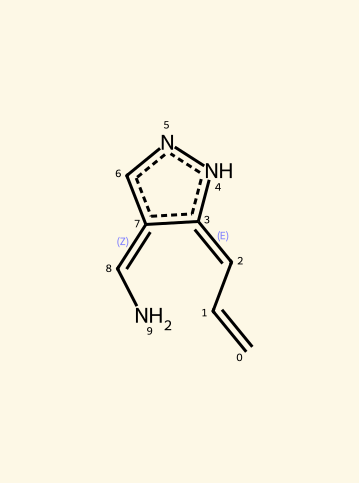 C=C/C=c1/[nH]nc/c1=C/N